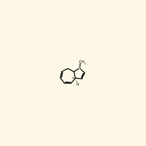 CN1C=C[C@H]2C=CC=CCC21